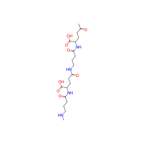 CNCCCC(=O)NC(CCC(=O)NCCCC(=O)NC(CCC(C)=O)C(=O)O)C(=O)O